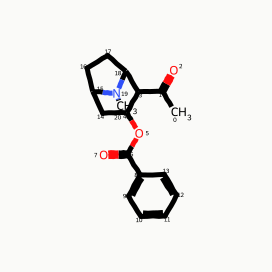 CC(=O)C1C(OC(=O)c2ccccc2)CC2CCC1N2C